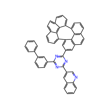 c1ccc(-c2cccc(-c3nc(-c4cnc5ccccc5c4)nc(-c4cc5ccc6cccc7c8cccc9ccc%10cccc(c(c4)c5c67)c%10c98)n3)c2)cc1